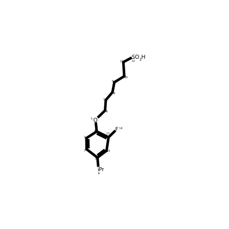 CC(C)c1ccc(OCCCCCCS(=O)(=O)O)c(F)c1